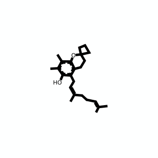 CC(C)=CCCC(C)=CCc1c(O)c(C)c(C)c2c1CCC1(CCC1)O2